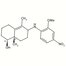 COc1cc([N+](=O)[O-])ccc1NC1CC[C@@]2(C)C(=C1C)CCC[C@@H]2O